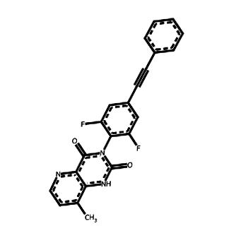 Cc1ccnc2c(=O)n(-c3c(F)cc(C#Cc4ccccc4)cc3F)c(=O)[nH]c12